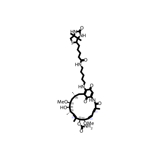 CO[C@H]1/C=C\C=C(/C)C(=O)NC2=CC(=O)C(NCCCCCNC(=O)CCCCC3SCC4(C)NC(=O)NC34C)=C(C[C@@H](C)C[C@H](OC)[C@H](O)[C@@H](C)/C=C(\C)[C@@H]1OC(N)=O)C2=O